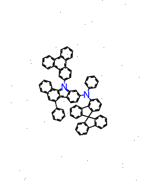 c1ccc(-c2cc3ccccc3c3c2c2ccc(N(c4ccccc4)c4cccc5c4-c4ccccc4C54c5ccccc5-c5ccccc54)cc2n3-c2ccc3c4ccccc4c4ccccc4c3c2)cc1